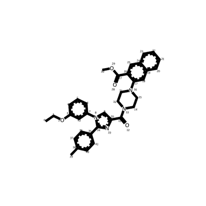 CCOc1cccc(-n2cc(C(=O)N3CCN(c4cc5ccccc5cc4C(=O)OC)CC3)nc2-c2ccc(C)cc2)c1